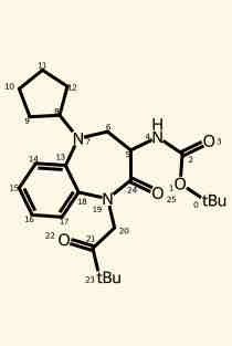 CC(C)(C)OC(=O)NC1CN(C2CCCC2)c2ccccc2N(CC(=O)C(C)(C)C)C1=O